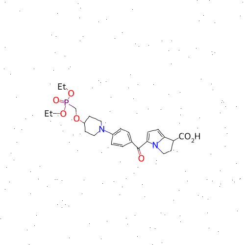 CCOP(=O)(COC1CCN(c2ccc(C(=O)c3ccc4n3CCC4C(=O)O)cc2)CC1)OCC